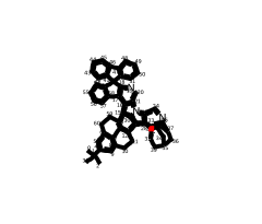 CC(C)(C)c1cc2c3c(c1)CCc1c-3c(c3c4c5c(ncc4n4c6cnc7c(c6c1c34)C1CC3CC(CC7C3)C1)C1(c3ccccc3-c3ccccc31)c1ccccc1-5)CC2